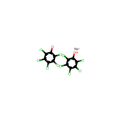 Oc1c(Cl)c(Cl)c(Cl)c(Cl)c1Cl.[Na+].[O-]c1c(Cl)c(Cl)c(Cl)c(Cl)c1Cl